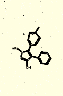 CCCCn1nc(O)c(-c2ccccc2)c1-c1ccc(C)cc1